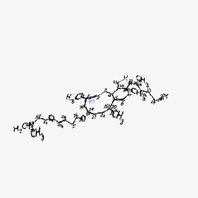 C/C1=C\CC2C(CC[C@@]3(C)C2CC[C@@H]3[C@H](C)CCCC(C)C)[C@@H](C)CC[C@H](OCCCCOCCN(C)C)C1